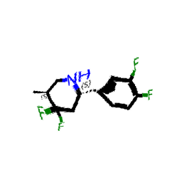 C[C@H]1CN[C@H](c2ccc(F)c(F)c2)CC1(F)F